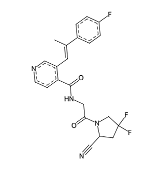 CC(=Cc1cnccc1C(=O)NCC(=O)N1CC(F)(F)CC1C#N)c1ccc(F)cc1